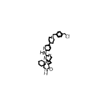 O=C1NCC2(CCCCC2)n2c1cc1cnc(Nc3ccc(C4CCN(Cc5ccc(CCl)cc5)CC4)cn3)nc12